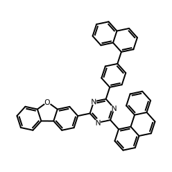 c1ccc2c(-c3ccc(-c4nc(-c5ccc6c(c5)oc5ccccc56)nc(-c5cccc6ccc7ccccc7c56)n4)cc3)cccc2c1